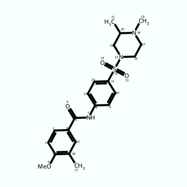 COc1ccc(C(=O)Nc2ccc(S(=O)(=O)N3CCN(C)C(C)C3)cc2)cc1C